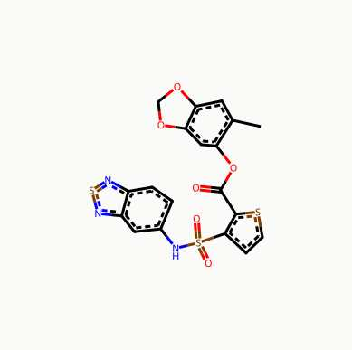 Cc1cc2c(cc1OC(=O)c1sccc1S(=O)(=O)Nc1ccc3nsnc3c1)OCO2